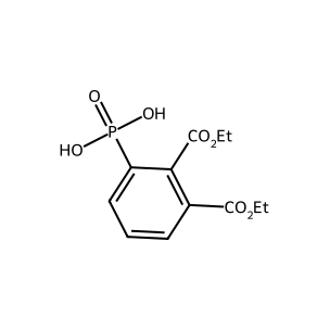 CCOC(=O)c1cccc(P(=O)(O)O)c1C(=O)OCC